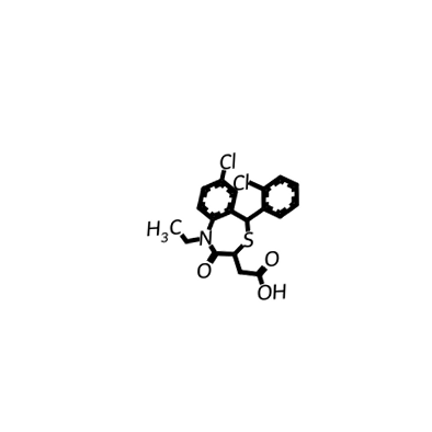 CCN1C(=O)C(CC(=O)O)SC(c2ccccc2Cl)c2cc(Cl)ccc21